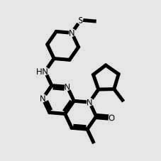 CSN1CCC(Nc2ncc3cc(C)c(=O)n(C4CCCC4C)c3n2)CC1